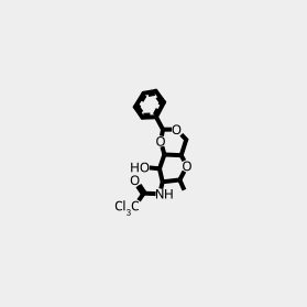 CC1OC2COC(c3ccccc3)OC2C(O)C1NC(=O)C(Cl)(Cl)Cl